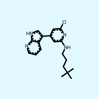 CC(C)(C)CCCNc1cc(-c2c[nH]c3ncccc23)cc(Cl)n1